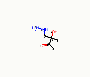 CC(=O)C(C)(O)CNN